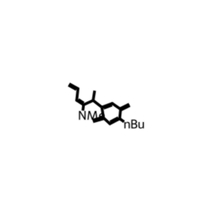 C=C/C=C(/NC)C(C)c1cc(=C)c(CCCC)cc1=C